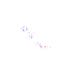 CC(C)(C)OC(=O)N1CC2C(CCNC(=O)COc3cccnc3)C2C1